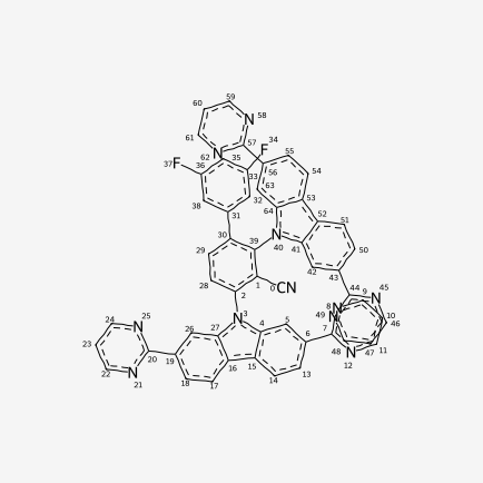 N#Cc1c(-n2c3cc(-c4ncccn4)ccc3c3ccc(-c4ncccn4)cc32)ccc(-c2cc(F)cc(F)c2)c1-n1c2cc(-c3ncccn3)ccc2c2ccc(-c3ncccn3)cc21